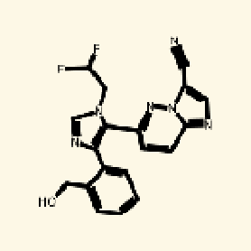 N#Cc1cnc2ccc(-c3c(-c4ccccc4CO)ncn3CC(F)F)nn12